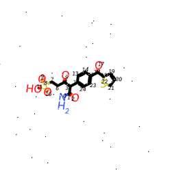 NC(=O)C(C(=O)CCS(=O)(=O)O)c1ccc(C(=O)C2C=CCS2)cc1